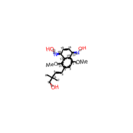 COc1cc(C=CC(C)(C)CO)c(OC)c2c1C(=NO)C=CC2=NO